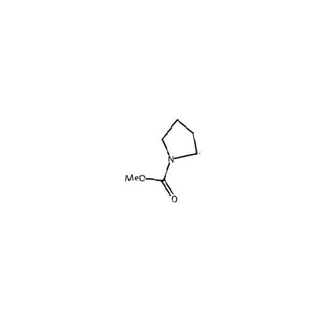 COC(=O)N1[CH]CCC1